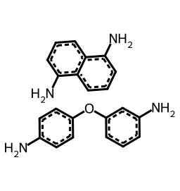 Nc1ccc(Oc2cccc(N)c2)cc1.Nc1cccc2c(N)cccc12